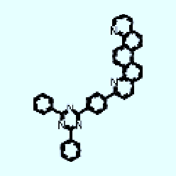 c1ccc(-c2nc(-c3ccccc3)nc(-c3ccc(-c4ccc5ccc6c7ccc8cccnc8c7ccc6c5n4)cc3)n2)cc1